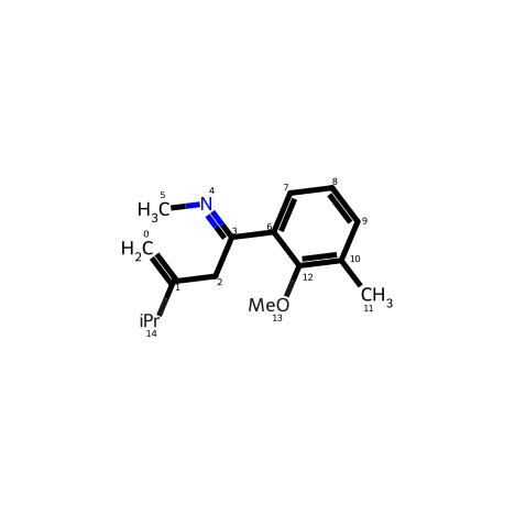 C=C(C/C(=N\C)c1cccc(C)c1OC)C(C)C